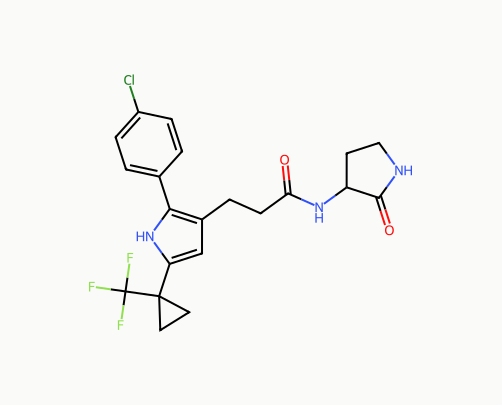 O=C(CCc1cc(C2(C(F)(F)F)CC2)[nH]c1-c1ccc(Cl)cc1)NC1CCNC1=O